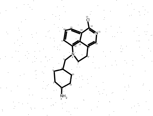 NC1CCC(CN2CCc3cnc(Cl)c4cccc2c34)CC1